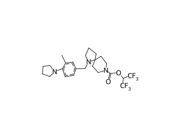 Cc1cc(CN2CCCC23CCN(C(=O)OC(C(F)(F)F)C(F)(F)F)CC3)ccc1N1CCCC1